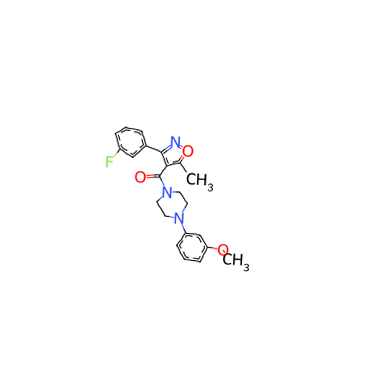 COc1cccc(N2CCN(C(=O)c3c(-c4cccc(F)c4)noc3C)CC2)c1